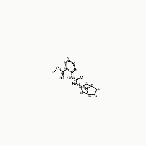 COC(=O)c1ccccc1NC(=O)NC1CC2CCC(C1)N2C